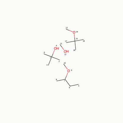 CC(C)(C)O.CCC(C)OC.CO.COC(C)(C)C